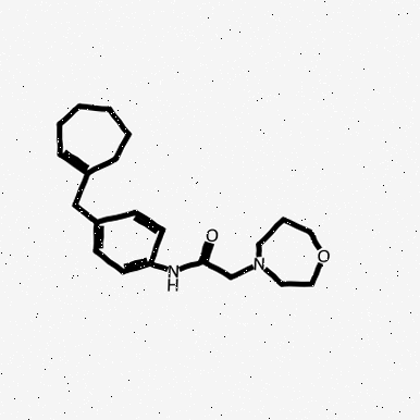 O=C(CN1CCCOCC1)Nc1ccc(CC2=CCCCCC2)cc1